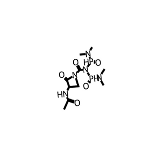 CC(=O)NC1CN(C(=O)N([PH](=O)N(C)C)[PH](=O)N(C)C)C1=O